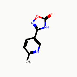 Cc1ccc(-c2noc(=O)[nH]2)cn1